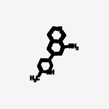 CC1=CC=C(c2cc(N)c3cnccc3c2)CN1